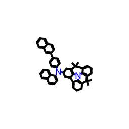 CC1(C)C2=c3c(c4c5n3-c3c1cccc3C(C)(C)C=5CC(N(c1ccc(-c3ccc5ccccc5c3)cc1)c1cccc3ccccc13)C=4)=CCC2